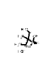 CCC(N)(CC)P(=O)(O)O.Cl